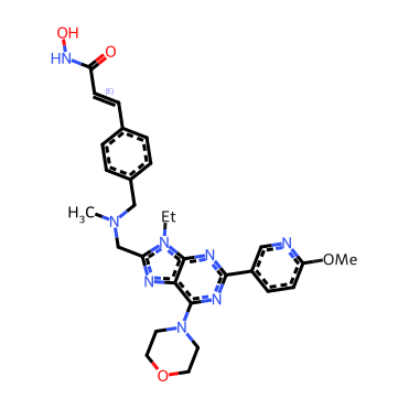 CCn1c(CN(C)Cc2ccc(/C=C/C(=O)NO)cc2)nc2c(N3CCOCC3)nc(-c3ccc(OC)nc3)nc21